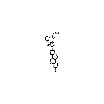 CC(C)(C)OC(=O)N1CCC[C@H]1c1ncc(-c2ccc3c(c2)OCC2=C3COc3cc(Cl)ccc32)[nH]1